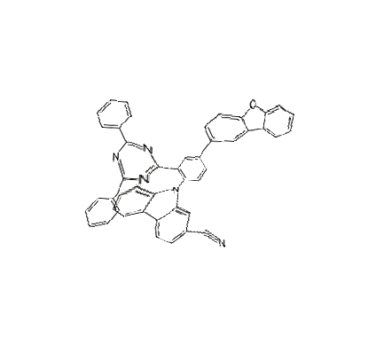 N#Cc1ccc2c3ccccc3n(-c3ccc(-c4ccc5oc6ccccc6c5c4)cc3-c3nc(-c4ccccc4)nc(-c4ccccc4)n3)c2c1